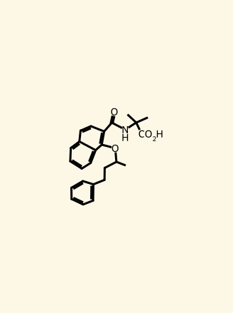 CC(CCc1ccccc1)Oc1c(C(=O)NC(C)(C)C(=O)O)ccc2ccccc12